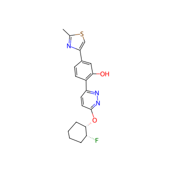 Cc1nc(-c2ccc(-c3ccc(O[C@H]4CCCC[C@H]4F)nn3)c(O)c2)cs1